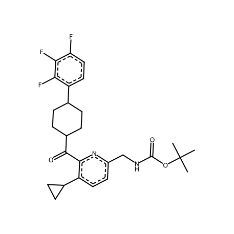 CC(C)(C)OC(=O)NCc1ccc(C2CC2)c(C(=O)C2CCC(c3ccc(F)c(F)c3F)CC2)n1